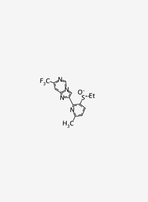 CC[S+]([O-])c1ccc(C)nc1-c1cn2cnc(C(F)(F)F)cc2n1